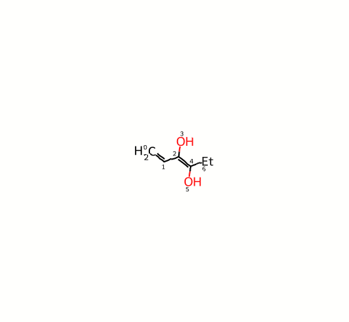 C=CC(O)=C(O)CC